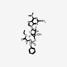 CCOC(=O)[C@H](C)N[P@](=O)(Oc1ccccc1)OC1[C@]2(O)[C@@](C)(F)[C@H](n3cnc4c(N(C)C)nc(N)nc43)O[C@]12F